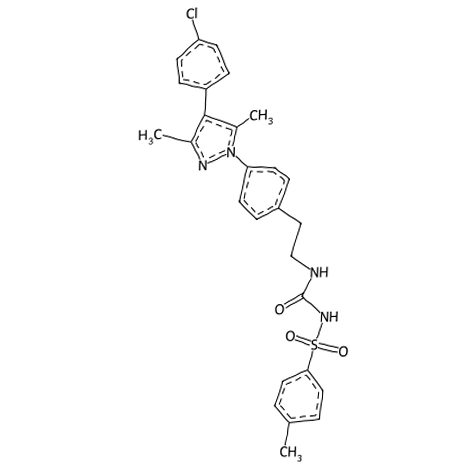 Cc1ccc(S(=O)(=O)NC(=O)NCCc2ccc(-n3nc(C)c(-c4ccc(Cl)cc4)c3C)cc2)cc1